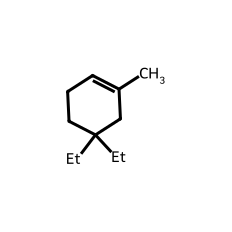 CCC1(CC)CCC=C(C)C1